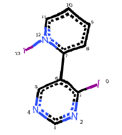 Ic1ncncc1-c1cccc[n+]1I